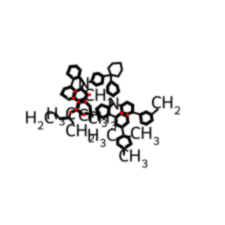 C=C/C=C(C=C)\C=C(/C)c1ccc(N(c2ccc(C3(c4ccc(N(c5ccc(-c6cccc(C=C)c6)cc5)c5ccccc5-c5cccc(-c6c(C)cc(C)cc6C)c5)cc4)CCCCC3)cc2)c2ccccc2-c2cccc(-c3c(C)cc(C)cc3C)c2)cc1